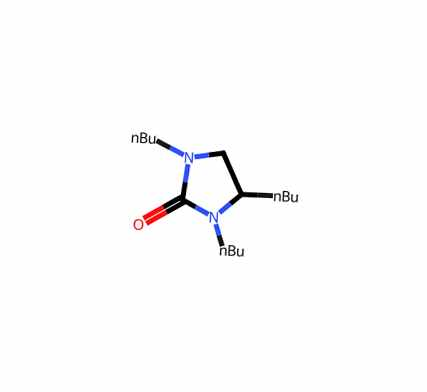 CCCCC1CN(CCCC)C(=O)N1CCCC